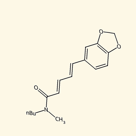 CCCCN(C)C(=O)/C=C/C=C/c1ccc2c(c1)OCO2